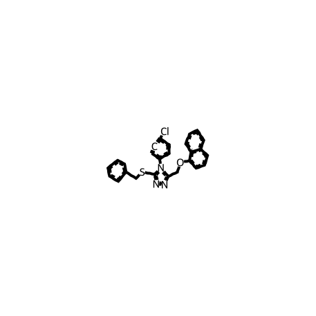 Clc1ccc(-n2c(COc3cccc4ccccc34)nnc2SCc2ccccc2)cc1